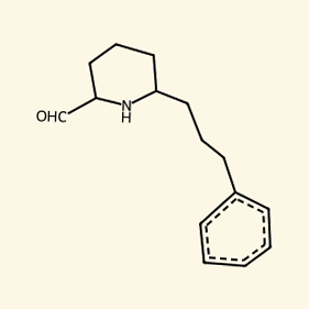 O=CC1CCCC(CCCc2ccccc2)N1